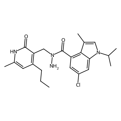 CCCc1cc(C)[nH]c(=O)c1CN(N)C(=O)c1cc(Cl)cc2c1c(C)cn2C(C)C